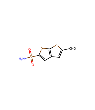 NS(=O)(=O)c1cc2cc(C=O)sc2s1